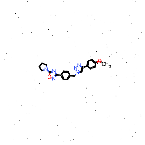 COc1ccc(-c2cn(Cc3ccc(-c4noc(N5CCCC5)n4)cc3)nn2)cc1